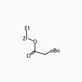 CCCCCC(=O)[O][Zr][CH2]C